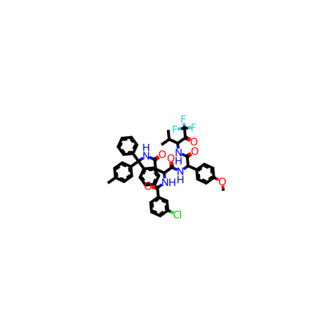 COc1ccc(C(NC(=O)C(CC(=O)NC(c2ccccc2)(c2ccccc2)c2ccc(C)cc2)NC(=O)c2cccc(Cl)c2)C(=O)NC(C(=O)C(F)(F)F)C(C)C)cc1